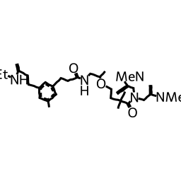 C=C(CN(CC(=C)NC)C(=O)C(C)(C)CCOC(C)CNC(=O)CCc1cc(C)cc(CCC(=C)NCC)c1)NC